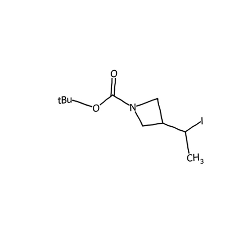 CC(I)C1CN(C(=O)OC(C)(C)C)C1